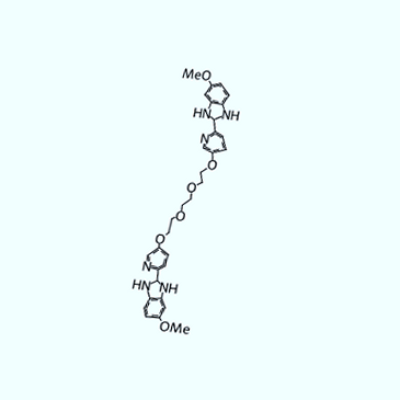 COc1ccc2c(c1)NC(c1ccc(OCCOCCOCCOc3ccc(C4Nc5ccc(OC)cc5N4)nc3)cn1)N2